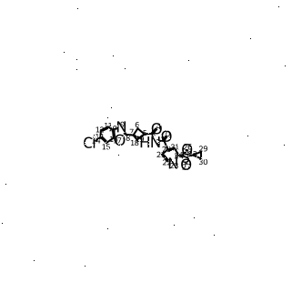 O=C(NC(=O)C12CC(c3nc4ccc(Cl)cc4o3)(C1)C2)c1ccnc(S(=O)(=O)C2CC2)c1